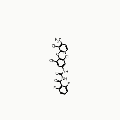 O=C(NC(=O)c1c(F)cccc1F)Nc1cc(Cl)c(Oc2nccc(C(F)(F)F)c2Cl)c(Cl)c1